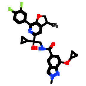 Cn1cc2cc(C(=O)NC[C@](O)(c3cc4c(c(-c5ccc(F)c(F)c5)n3)OC[C@H]4C(F)(F)F)C3CC3)cc(OC3CC3)c2n1